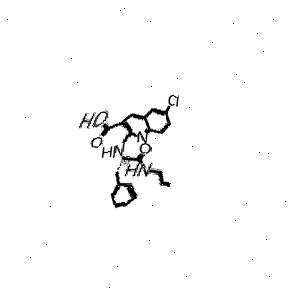 CCCNC(=O)[C@H](Cc1ccccc1)Nc1nc2ccc(Cl)cc2cc1C(=O)O